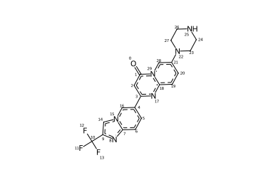 O=c1cc(-c2ccc3nc(C(F)(F)F)cn3c2)nc2ccc(N3CCNCC3)cn12